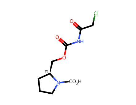 O=C(CCl)NC(=O)OC[C@@H]1CCCN1C(=O)O